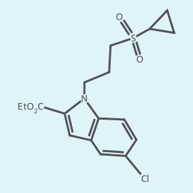 CCOC(=O)c1cc2cc(Cl)ccc2n1CCCS(=O)(=O)C1CC1